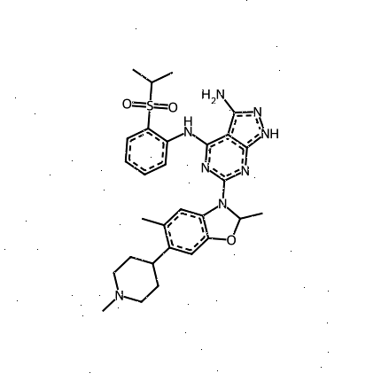 Cc1cc2c(cc1C1CCN(C)CC1)OC(C)N2c1nc(Nc2ccccc2S(=O)(=O)C(C)C)c2c(N)n[nH]c2n1